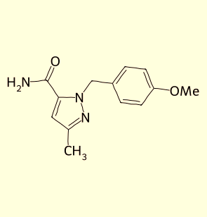 COc1ccc(Cn2nc(C)cc2C(N)=O)cc1